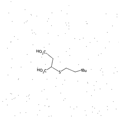 CC(C)(C)CCSC(CC(=O)O)C(=O)O